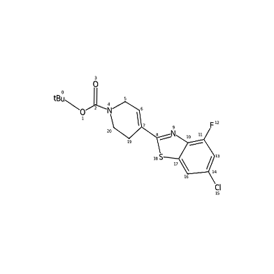 CC(C)(C)OC(=O)N1CC=C(c2nc3c(F)cc(Cl)cc3s2)CC1